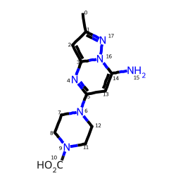 Cc1cc2nc(N3CCN(C(=O)O)CC3)cc(N)n2n1